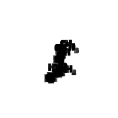 CC(C)C(=O)NCc1ccc(C(=O)Nc2nc(-c3ccccc3)ccc2N)cc1